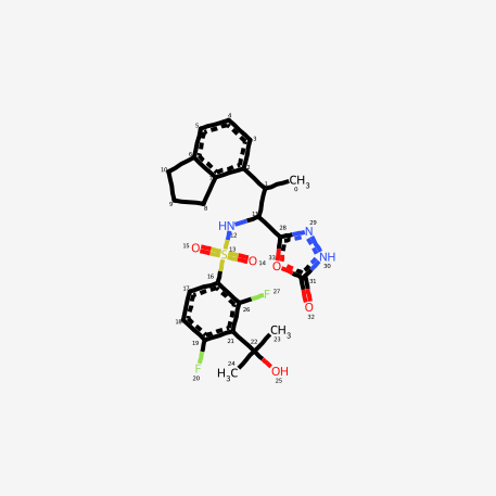 CC(c1cccc2c1CCC2)C(NS(=O)(=O)c1ccc(F)c(C(C)(C)O)c1F)c1n[nH]c(=O)o1